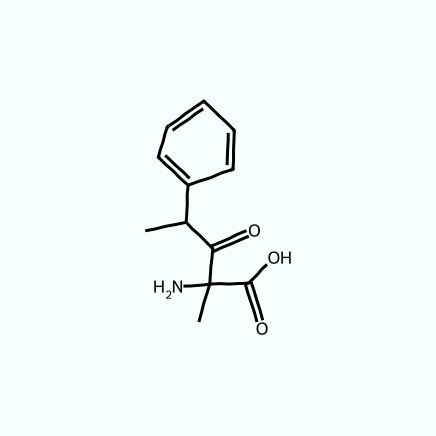 CC(C(=O)C(C)(N)C(=O)O)c1ccccc1